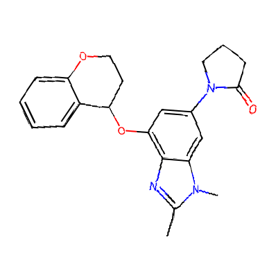 Cc1nc2c(OC3CCOc4ccccc43)cc(N3CCCC3=O)cc2n1C